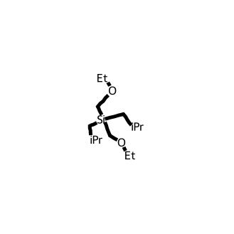 CCOC[Si](COCC)(CC(C)C)CC(C)C